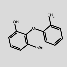 CCCCc1cccc(O)c1Oc1ccccc1C